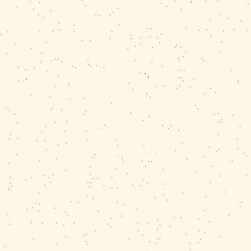 COC(=O)C(C(=O)OC(C)(C)C)c1nncc2ccccc12